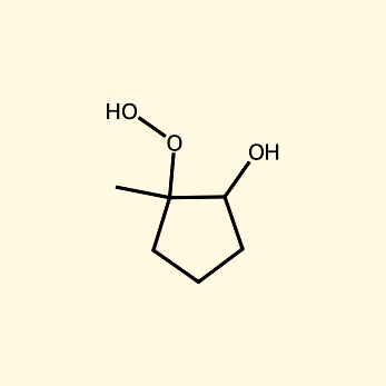 CC1(OO)CCCC1O